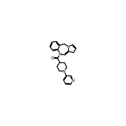 O=C(C1CCN(c2cccnc2)CC1)N1C=C2CC=CN2Cc2ccccc21